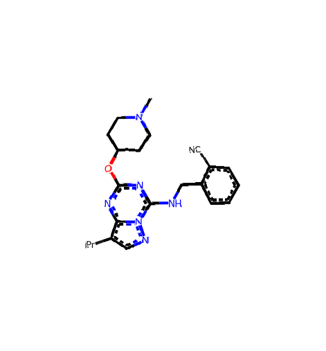 CC(C)c1cnn2c(NCc3ccccc3C#N)nc(OC3CCN(C)CC3)nc12